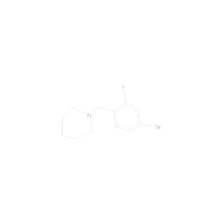 Fc1cc(Br)ccc1CN1CCCCC1